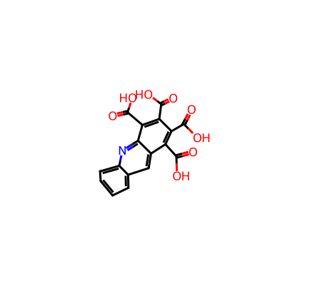 O=C(O)c1c(C(=O)O)c(C(=O)O)c2nc3ccccc3cc2c1C(=O)O